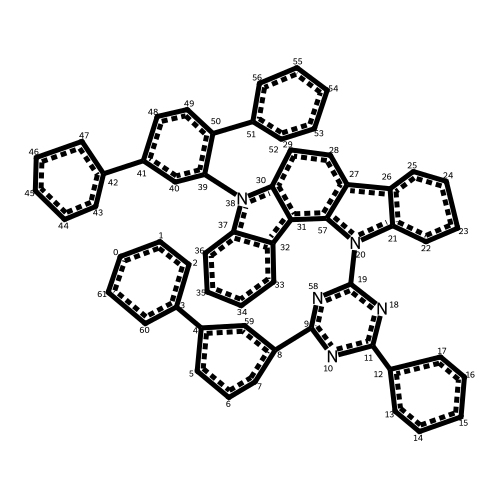 c1ccc(-c2cccc(-c3nc(-c4ccccc4)nc(-n4c5ccccc5c5ccc6c(c7ccccc7n6-c6cc(-c7ccccc7)ccc6-c6ccccc6)c54)n3)c2)cc1